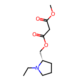 CCN1CCC[C@H]1COC(=O)CC(=O)OC